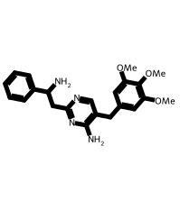 COc1cc(Cc2cnc(CC(N)c3ccccc3)nc2N)cc(OC)c1OC